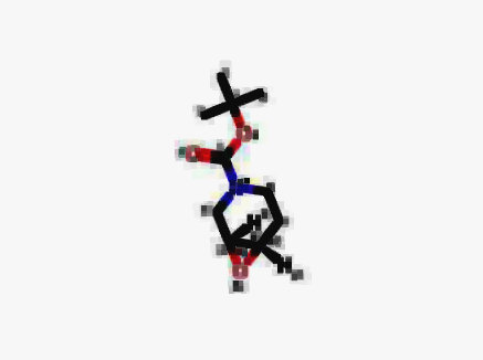 CC(C)(C)OC(=O)N1CC[C@@H]2O[C@@H]2C1